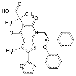 Cc1c(-c2ncco2)sc2c1c(=O)n(C(C)(C)C(=O)O)c(=O)n2C[C@H](Oc1ccccc1)c1ccccc1